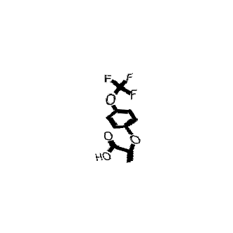 C=C(Oc1ccc(OC(F)(F)F)cc1)C(=O)O